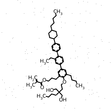 C=C(C)C(=O)OCCCc1cc(-c2ccc(-c3ccc(C4CCC(CCCCC)CC4)cc3)c(CC)c2)cc(CCCC)c1OCCC(CO)(CO)CCCC